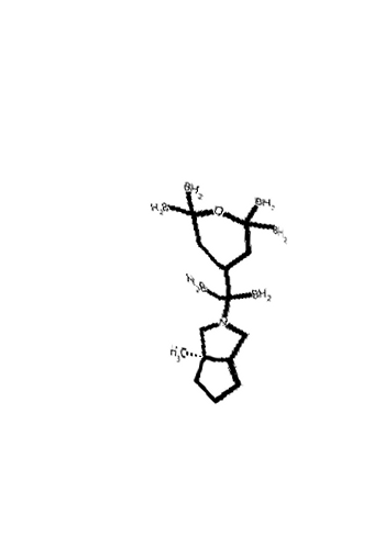 BC1(B)CC(C(B)(B)N2CC3CCC[C@@]3(C)C2)CC(B)(B)O1